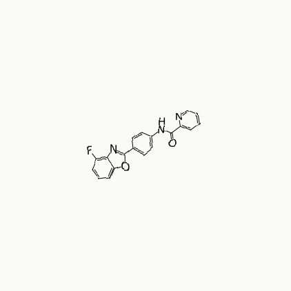 O=C(Nc1ccc(-c2nc3c(F)cccc3o2)cc1)c1ccccn1